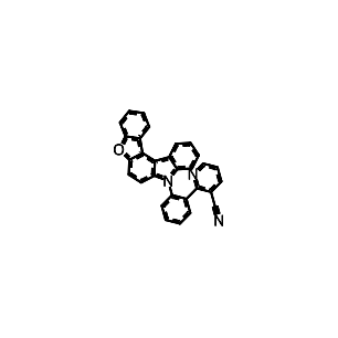 N#Cc1cccnc1-c1ccccc1-n1c2ccccc2c2c3c(ccc21)oc1ccccc13